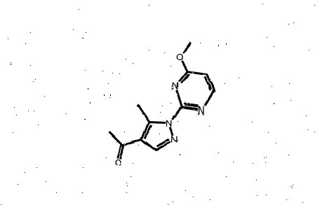 COc1ccnc(-n2ncc(C(C)=O)c2C)n1